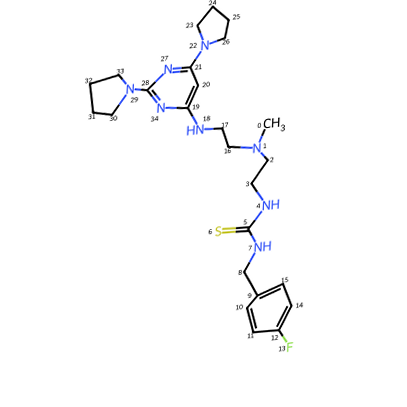 CN(CCNC(=S)NCc1ccc(F)cc1)CCNc1cc(N2CCCC2)nc(N2CCCC2)n1